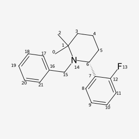 CC1(C)CCC[C@H](c2cc[c]cc2F)N1Cc1ccccc1